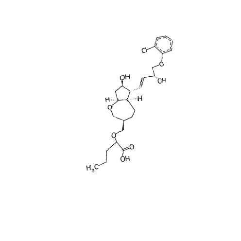 CCCC(OC[C@@H]1CC[C@@H]2[C@@H](C=C[C@@H](O)COc3ccccc3Cl)[C@H](O)C[C@@H]2OC1)C(=O)O